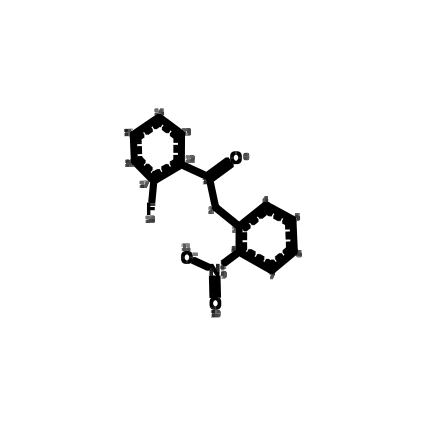 O=C(Cc1ccccc1[N+](=O)[O-])c1ccccc1F